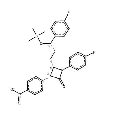 C[Si](C)(C)O[C@@H](CC[C@H]1[C@@H](c2ccc([N+](=O)[O-])cc2)C(=O)N1c1ccc(F)cc1)c1ccc(F)cc1